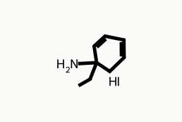 CCC1(N)C=CC=CC1.I